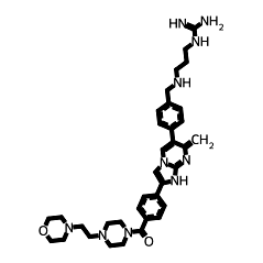 C=C1N=C2NC(c3ccc(C(=O)N4CCN(CCN5CCOCC5)CC4)cc3)=CN2C=C1c1ccc(CNCCCNC(=N)N)cc1